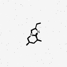 CCC1CN2CC(C)CC(C)C2=N1